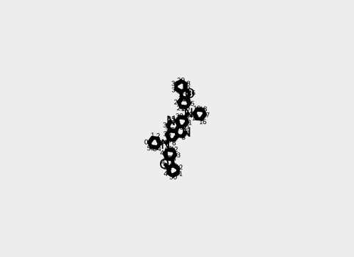 c1ccc(N(c2cc3cnc4cc(N(c5ccccc5)c5ccc6c(c5)oc5ccccc56)cc5ncc(c2)c3c45)c2ccc3c(c2)oc2ccccc23)cc1